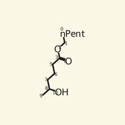 CCCCCCOC(=O)CCCC(C)O